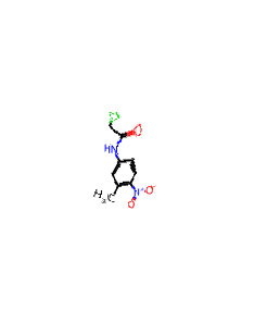 Cc1cc(NC(=O)CCl)ccc1[N+](=O)[O-]